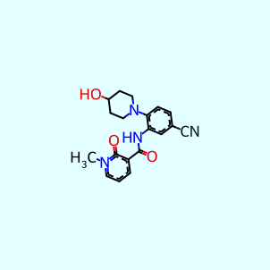 Cn1cccc(C(=O)Nc2cc(C#N)ccc2N2CCC(O)CC2)c1=O